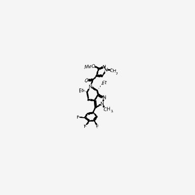 CC[C@H]1Cc2c(nn(C)c2-c2cc(F)c(F)c(F)c2)[C@@H](CC)N1C(=O)c1cn(C)nc1OC